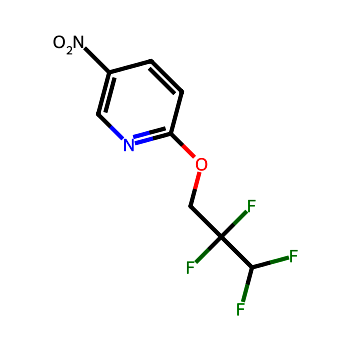 O=[N+]([O-])c1ccc(OCC(F)(F)C(F)F)nc1